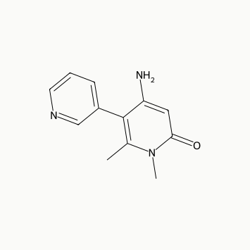 Cc1c(-c2cccnc2)c(N)cc(=O)n1C